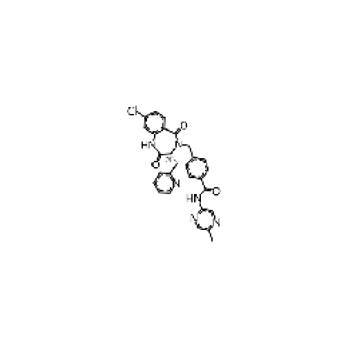 Cc1cnc(NC(=O)c2ccc(CN3C(=O)c4ccc(Cl)cc4NC(=O)[C@H]3Cc3ccccn3)cc2)cn1